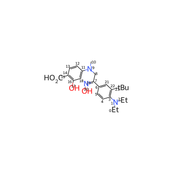 CCN(CC)c1ccc(C(CN(C)c2ccc(C(=O)O)c(O)c2)=NO)cc1C(C)(C)C